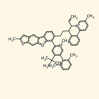 C=CC1C(CCc2ccc3c(oc4cc5sc(C)cc5cc43)c2-c2cc(C(C)(C)C)c(-c3c(C)cccc3C)c[n+]2C)c2ccccc2-c2ccc(C)c[n+]21